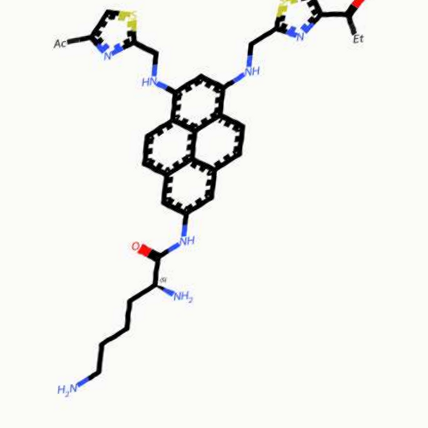 CCC(=O)c1csc(CNc2cc(NCc3nc(C(C)=O)cs3)c3ccc4cc(NC(=O)[C@@H](N)CCCCN)cc5ccc2c3c45)n1